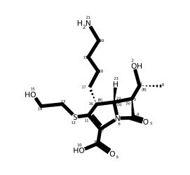 C[C@@H](O)[C@H]1C(=O)N2C(C(=O)O)=C(SCCO)[C@H](CCCCN)[C@H]12